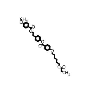 C=CC(=O)OCCCCCCOc1ccc(C(=O)Oc2ccc(CCOC(=O)c3ccc(OC)cc3)cc2)cc1